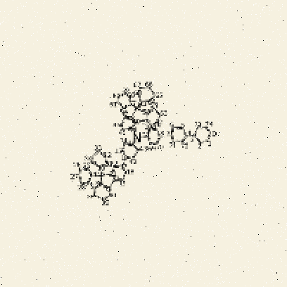 c1ccc(-c2ccc(-c3ccc(N(c4ccc(-c5ccc6c(c5)C(c5ccccc5)(c5ccccc5)c5ccccc5-6)cc4)c4cccc5c4-c4ccccc4C5(c4ccccc4)c4ccccc4)cc3)cc2)cc1